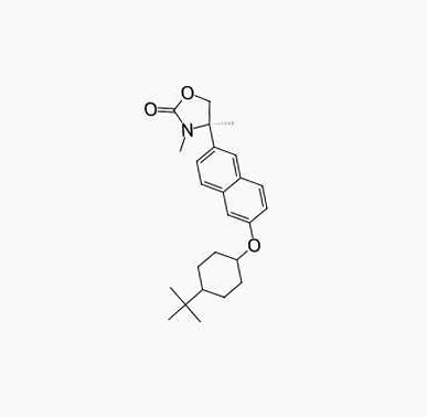 CN1C(=O)OC[C@@]1(C)c1ccc2cc(OC3CCC(C(C)(C)C)CC3)ccc2c1